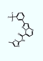 Cc1cnc(NC(=O)c2ccnc3cc(-c4cccc(C(F)(F)F)c4)nn23)s1